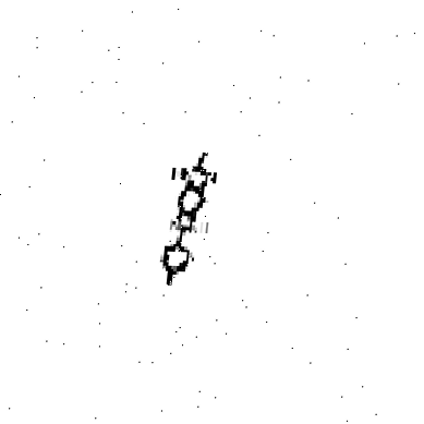 Cc1ccc(-c2nc3cc4[nH]c(C)nc4cc3[nH]2)nc1